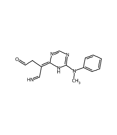 CN(C1=NC=N/C(=C(/C=N)CC=O)N1)c1ccccc1